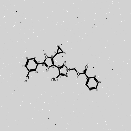 N#Cc1nn(COC(=O)c2ccccc2)nc1-c1nc(-c2cccc(Cl)c2)oc1C1CC1